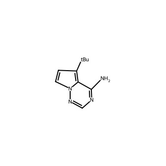 CC(C)(C)c1ccn2ncnc(N)c12